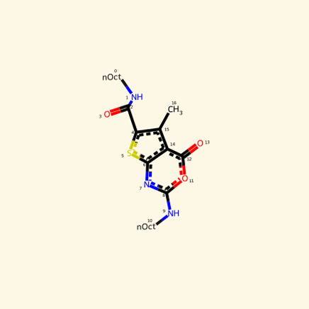 CCCCCCCCNC(=O)c1sc2nc(NCCCCCCCC)oc(=O)c2c1C